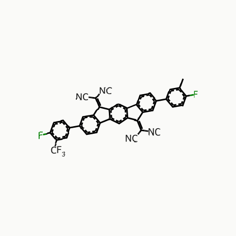 [C-]#[N+]/C(C#N)=C1/c2cc(-c3ccc(F)c(C(F)(F)F)c3)ccc2-c2cc3c(cc21)-c1ccc(-c2ccc(F)c(C)c2)cc1/C3=C(/C#N)[N+]#[C-]